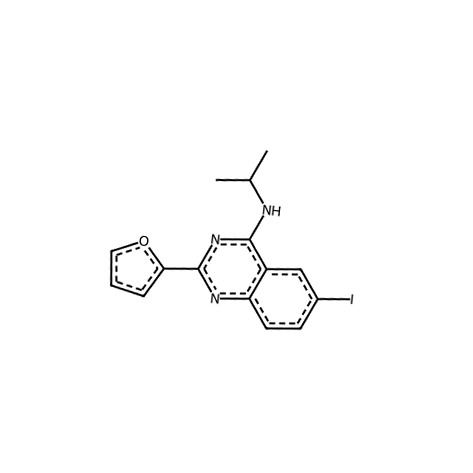 CC(C)Nc1nc(-c2ccco2)nc2ccc(I)cc12